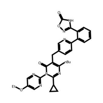 CCCCc1nc(C2CC2)n(-c2ncc(OCC)cn2)c(=O)c1Cc1ccc(-c2ccccc2-c2noc(=O)[nH]2)nc1